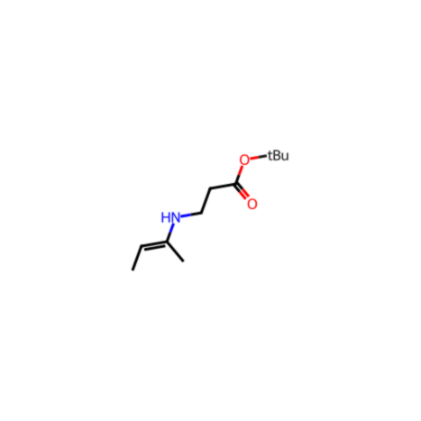 C/C=C(\C)NCCC(=O)OC(C)(C)C